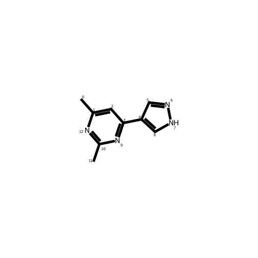 Cc1cc(-c2cn[nH]c2)nc(C)n1